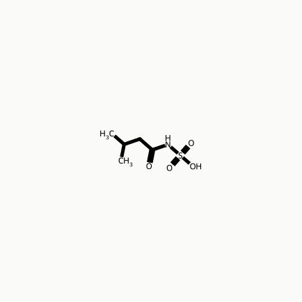 CC(C)CC(=O)NS(=O)(=O)O